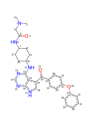 CN(C)CC(=O)NC1CCC(Nc2ncnc3[nH]cc(C(=O)c4ccc(Oc5ccccc5)cc4)c23)CC1